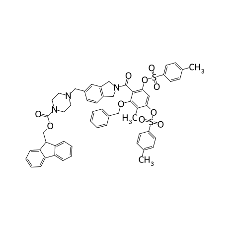 Cc1ccc(S(=O)(=O)Oc2cc(OS(=O)(=O)c3ccc(C)cc3)c(C(=O)N3Cc4ccc(CN5CCN(C(=O)OCC6c7ccccc7-c7ccccc76)CC5)cc4C3)c(OCc3ccccc3)c2C)cc1